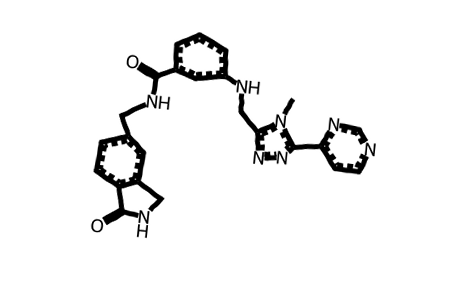 Cn1c(CNc2cccc(C(=O)NCc3ccc4c(c3)CNC4=O)c2)nnc1-c1ccncn1